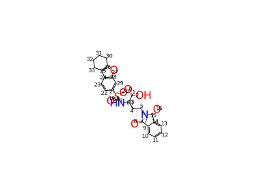 O=C(O)[C@@H](CCN1C(=O)c2ccccc2C1=O)NS(=O)(=O)c1ccc2c3c(oc2c1)CCCC3